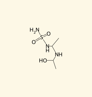 CC(O)NC(C)NS(N)(=O)=O